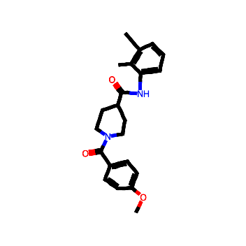 COc1ccc(C(=O)N2CCC(C(=O)Nc3cccc(C)c3C)CC2)cc1